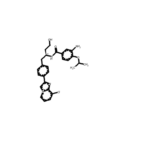 CC(C)Oc1ccc(C(=O)N[C@H](CCO)Cc2ccc(-c3cn4cccc(Cl)c4n3)cc2)cc1N